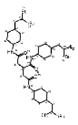 CCCCC(CC)CC1CCC(NC(=O)CC(CC(=O)NC2CCC(CC(CC)CCCC)CC2)C(=O)NC2CCC(CC(CC)CCCC)CC2)CC1